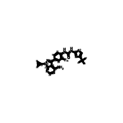 CC(C)(C)c1csc(NC(=O)Nc2ccc(-c3nn(C4CC4)c4ncnc(N)c34)cc2F)n1